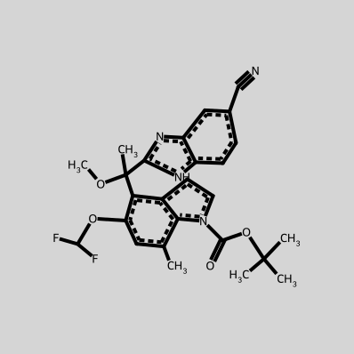 COC(C)(c1nc2cc(C#N)ccc2[nH]1)c1c(OC(F)F)cc(C)c2c1ccn2C(=O)OC(C)(C)C